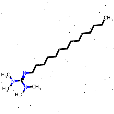 CCCCCCCCCCCCCCN=C(N(C)C)N(C)C